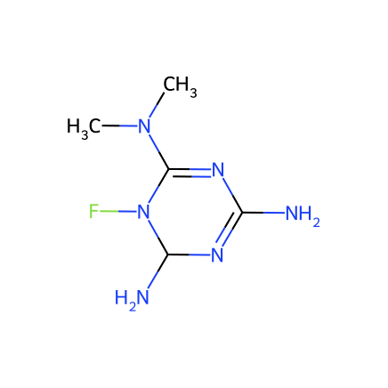 CN(C)C1=NC(N)=NC(N)N1F